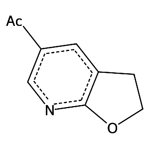 CC(=O)c1cnc2c(c1)CCO2